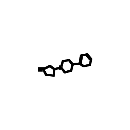 C1=CCCC(C2CCN(C3CCNC3)CC2)=C1